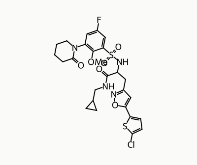 COc1c(N2CCCCC2=O)cc(F)cc1S(=O)(=O)NC(Cc1cc(-c2ccc(Cl)s2)on1)C(=O)NCC1CC1